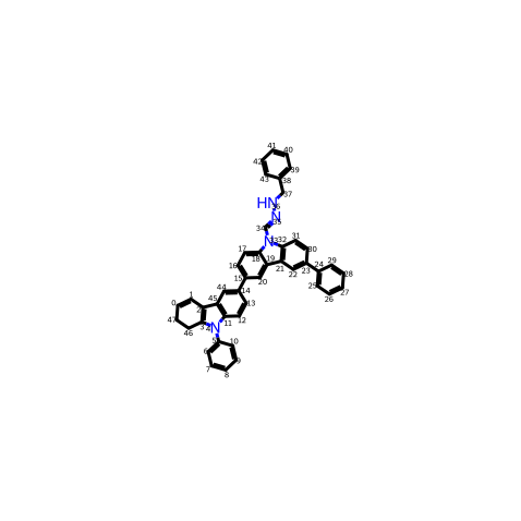 C1=Cc2c(n(-c3ccccc3)c3ccc(-c4ccc5c(c4)c4cc(-c6ccccc6)ccc4n5/C=N/NCc4ccccc4)cc23)CC1